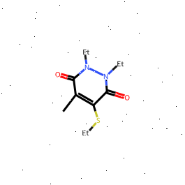 CCSc1c(C)c(=O)n(CC)n(CC)c1=O